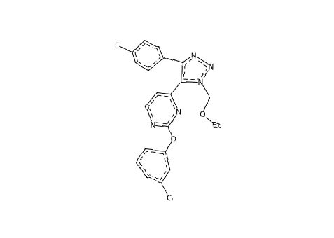 CCOCn1nnc(-c2ccc(F)cc2)c1-c1ccnc(Oc2cccc(Cl)c2)n1